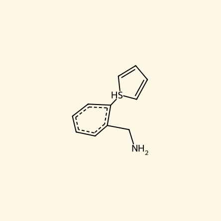 NCc1ccccc1[SH]1C=CC=C1